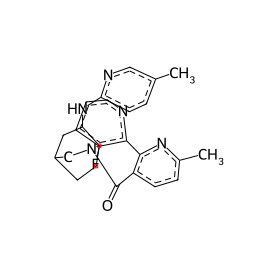 Cc1ccc(NC2CC3CCC2N(C(=O)c2ccc(C)nc2-c2ncccc2F)C3)nc1